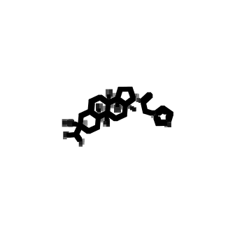 C=C(Cn1ccnc1)[C@H]1CC[C@H]2[C@@H]3CC=C4C[C@@](O)(C(F)F)CC[C@@H]4[C@H]3CC[C@]12C